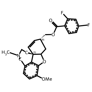 COc1ccc2c3c1OC1C[C@@H](COC(=O)c4ccc(F)cc4F)C=C[C@@]31CCN(C)C2